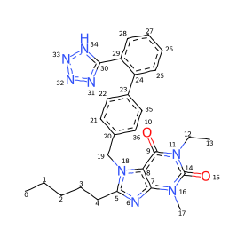 CCCCCc1nc2c(c(=O)n(CC)c(=O)n2C)n1Cc1ccc(-c2ccccc2-c2nnn[nH]2)cc1